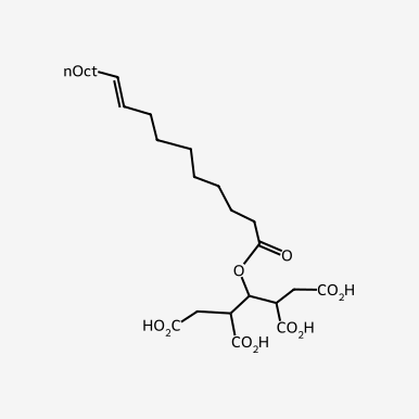 CCCCCCCCC=CCCCCCCCC(=O)OC(C(CC(=O)O)C(=O)O)C(CC(=O)O)C(=O)O